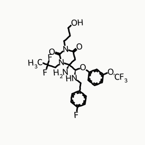 CC(F)(F)CN1C(=O)N(CCCO)C(=O)C[C@]1(N)[C@H](NCc1ccc(F)cc1)Oc1cccc(OC(F)(F)F)c1